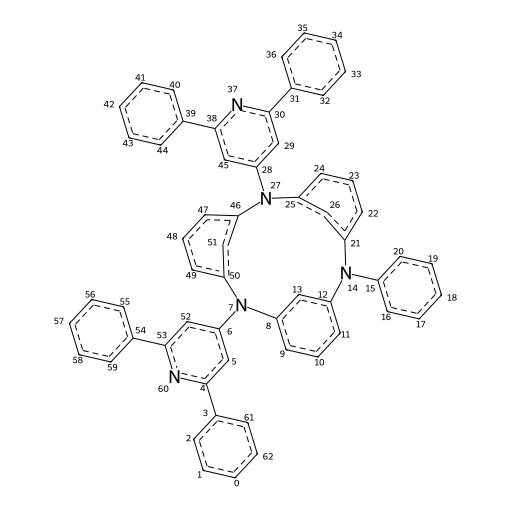 c1ccc(-c2cc(N3c4cccc(c4)N(c4ccccc4)c4cccc(c4)N(c4cc(-c5ccccc5)nc(-c5ccccc5)c4)c4cccc3c4)cc(-c3ccccc3)n2)cc1